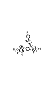 Cc1c(Cc2ccc(F)c(C(=O)N3CCN(c4ccc(F)cc4)C(=O)C3)c2)n[nH]c(=O)c1C.O=C(O)C(F)(F)F